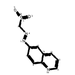 O=[SH](=O)CN=Nc1ccc2ncccc2c1